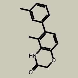 Cc1cccc(-c2ccc3c(c2C)NC(=O)CO3)c1